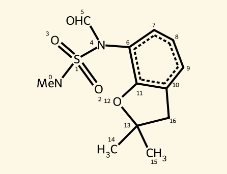 CNS(=O)(=O)N(C=O)c1cccc2c1OC(C)(C)C2